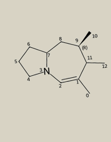 CC1=CN2CCCC2C[C@@H](C)C1C